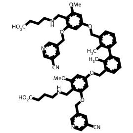 COc1cc(OCc2cccc(-c3cccc(COc4cc(OC)c(CNCCCC(=O)O)c(OCc5cncc(C#N)c5)c4)c3C)c2C)cc(OCc2cncc(C#N)c2)c1CNCCCC(=O)O